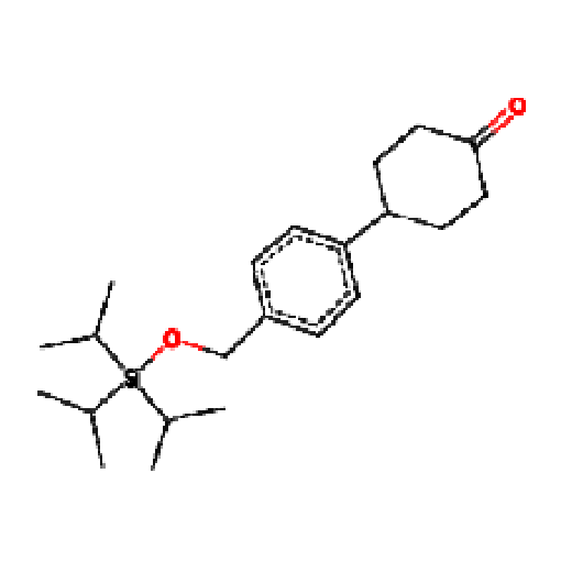 CC(C)[Si](OCc1ccc(C2CCC(=O)CC2)cc1)(C(C)C)C(C)C